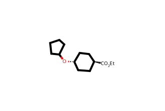 CCOC(=O)[C@H]1CC[C@H](OC2CCCC2)CC1